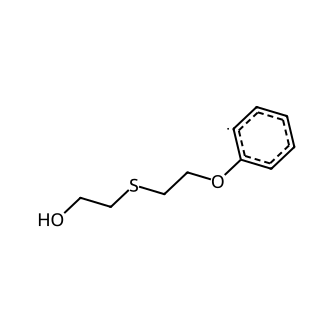 OCCSCCOc1[c]cccc1